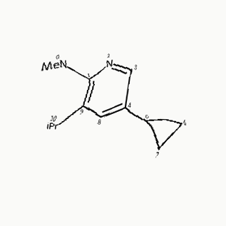 CNc1ncc(C2CC2)cc1C(C)C